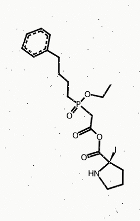 CCOP(=O)(CCCCc1ccccc1)CC(=O)OC(=O)[C@]1(I)CCCN1